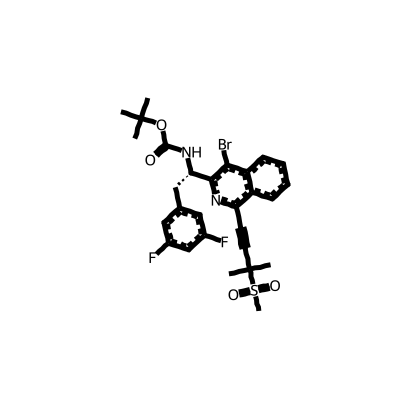 CC(C)(C)OC(=O)N[C@@H](Cc1cc(F)cc(F)c1)c1nc(C#CC(C)(C)S(C)(=O)=O)c2ccccc2c1Br